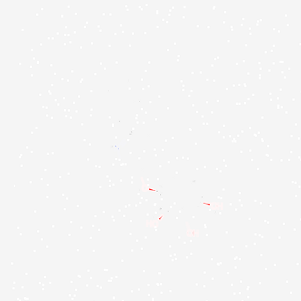 O[C@@H]1[C@@H](O)[C@@H](Oc2ccc(-c3ccsc3)nc2)SC[C@H]1O